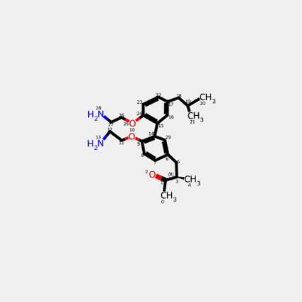 CC(=O)[C@H](C)Cc1ccc(OCCN)c(-c2cc(CC(C)C)ccc2OCCN)c1